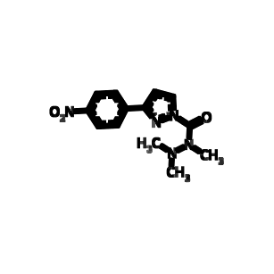 CN(C)N(C)C(=O)n1ccc(-c2ccc([N+](=O)[O-])cc2)n1